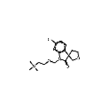 C[Si](C)(C)CCOCN1C(=O)C2(CCOC2)c2ccc(Cl)nc21